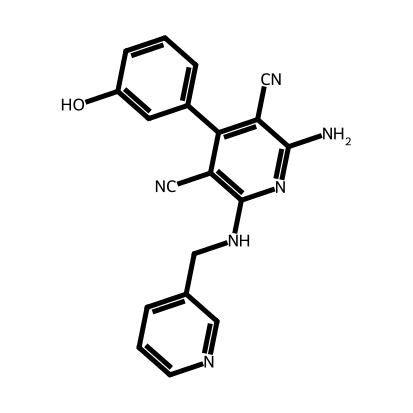 N#Cc1c(N)nc(NCc2cccnc2)c(C#N)c1-c1cccc(O)c1